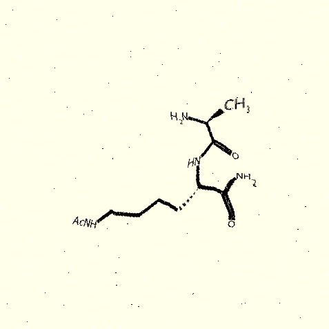 CC(=O)NCCCC[C@H](NC(=O)[C@H](C)N)C(N)=O